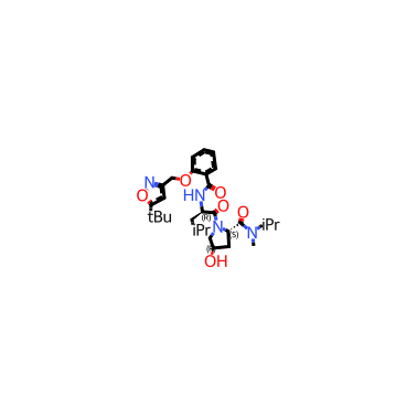 CC(C)C[C@@H](NC(=O)c1ccccc1OCc1cc(C(C)(C)C)on1)C(=O)N1C[C@H](O)C[C@H]1C(=O)N(C)C(C)C